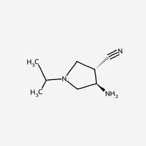 CC(C)N1C[C@H](N)[C@@H](C#N)C1